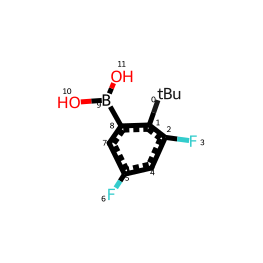 CC(C)(C)c1c(F)cc(F)cc1B(O)O